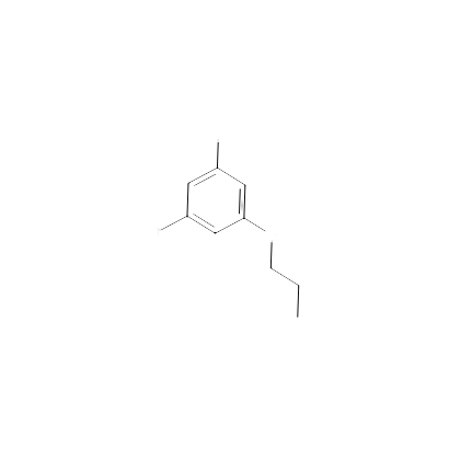 CCCOc1[c]c(Cl)cc(Cl)c1